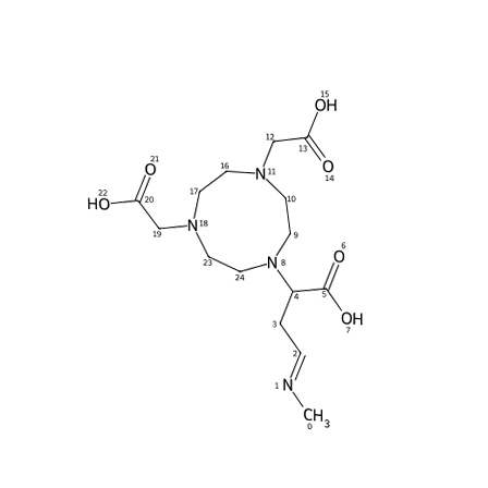 C/N=C/CC(C(=O)O)N1CCN(CC(=O)O)CCN(CC(=O)O)CC1